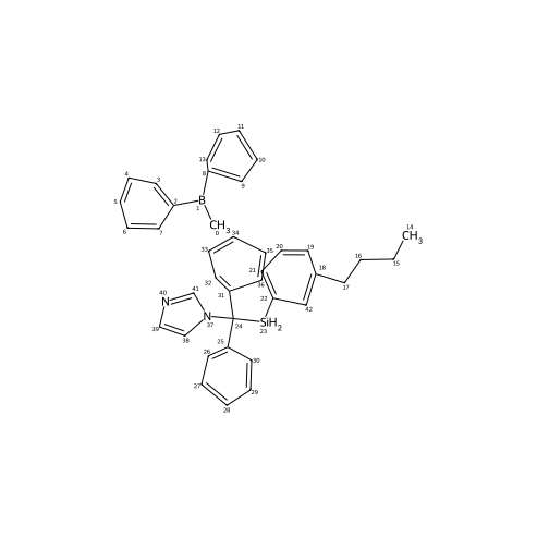 CB(c1ccccc1)c1ccccc1.CCCCc1cccc([SiH2]C(c2ccccc2)(c2ccccc2)n2ccnc2)c1